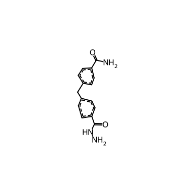 NNC(=O)c1ccc(Cc2ccc(C(N)=O)cc2)cc1